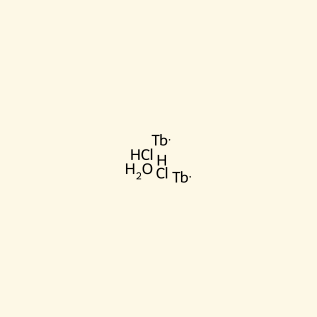 Cl.Cl.O.[Tb].[Tb]